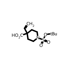 C=CC1(C(=O)O)CCN(S(=O)(=O)OC(C)(C)C)CC1